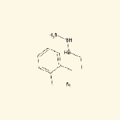 BBBCC.Cc1ccccc1C.[Fe]